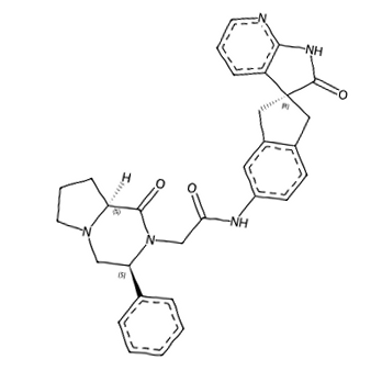 O=C(CN1C(=O)[C@@H]2CCCN2C[C@@H]1c1ccccc1)Nc1ccc2c(c1)C[C@@]1(C2)C(=O)Nc2ncccc21